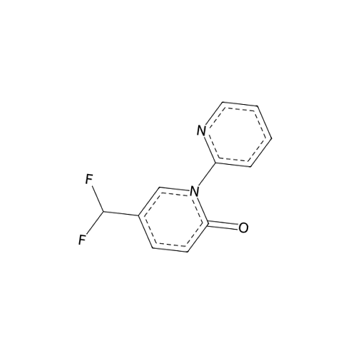 O=c1ccc(C(F)F)cn1-c1ccccn1